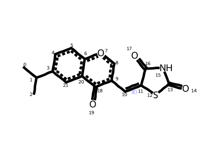 CC(C)c1ccc2occ(/C=C3/SC(=O)NC3=O)c(=O)c2c1